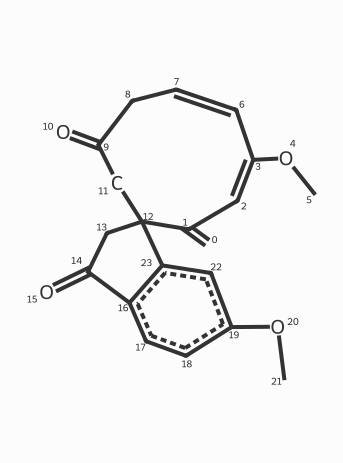 C=C1/C=C(OC)\C=C/CC(=O)CC12CC(=O)c1ccc(OC)cc12